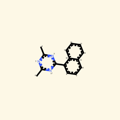 Cc1nc(C)nc(-c2cccc3ccccc23)n1